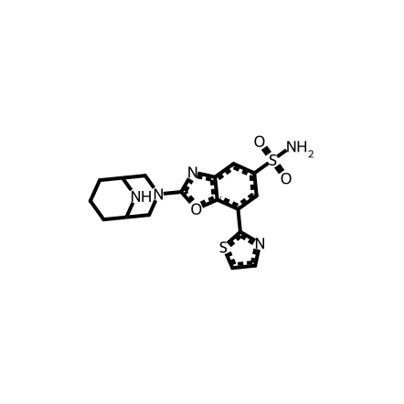 NS(=O)(=O)c1cc(-c2nccs2)c2oc(N3CC4CCCC(C3)N4)nc2c1